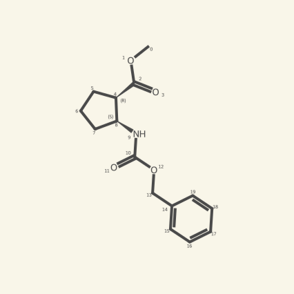 COC(=O)[C@@H]1CCC[C@@H]1NC(=O)OCc1ccccc1